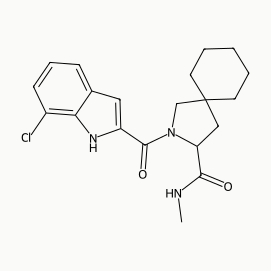 CNC(=O)C1CC2(CCCCC2)CN1C(=O)c1cc2cccc(Cl)c2[nH]1